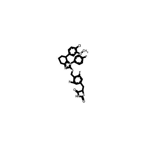 COc1cc(C2CCCc3nc(SCc4c(F)cc(CC5SC(=O)NC5=O)cc4F)n(-c4ccc(F)cc4)c32)ccc1Cl